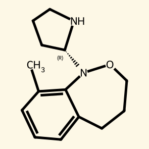 Cc1cccc2c1N([C@@H]1CCCN1)OCCC2